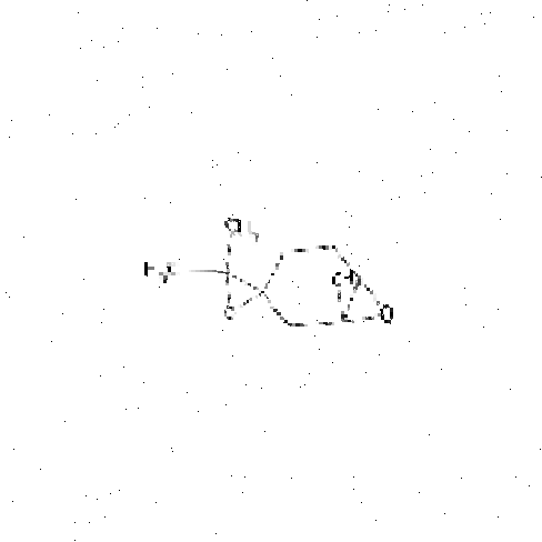 CC12CC3(CCC1O2)OC3(C)C